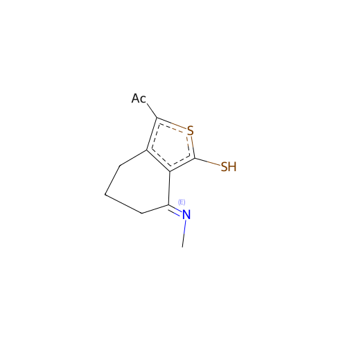 C/N=C1\CCCc2c(C(C)=O)sc(S)c21